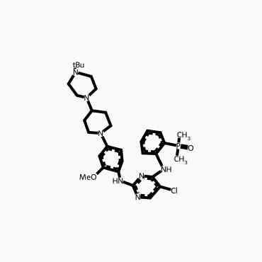 COc1cc(N2CCC(N3CCN(C(C)(C)C)CC3)CC2)ccc1Nc1ncc(Cl)c(Nc2ccccc2P(C)(C)=O)n1